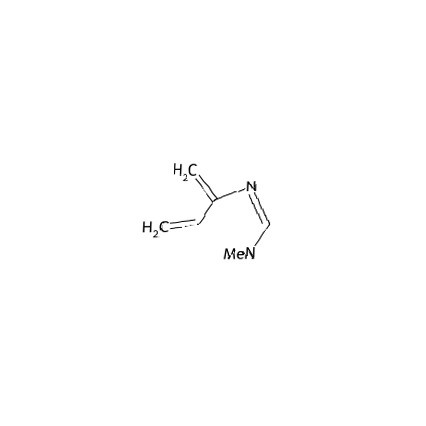 C=CC(=C)/N=C\NC